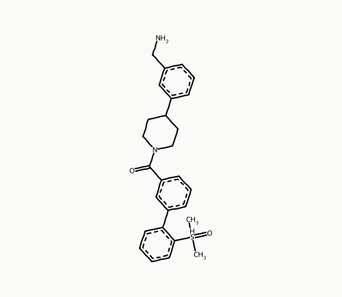 C[SH](C)(=O)c1ccccc1-c1cccc(C(=O)N2CCC(c3cccc(CN)c3)CC2)c1